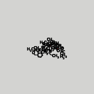 CCC(CN(Cc1cccc2c1OC(C)(C)OC2)CP(=O)(OC(C)(C)C)OC(C)(C)C)N(Cc1cccc2c1OC(C)(C)OC2)CP(=O)(OC(C)(C)C)OC(C)(C)C